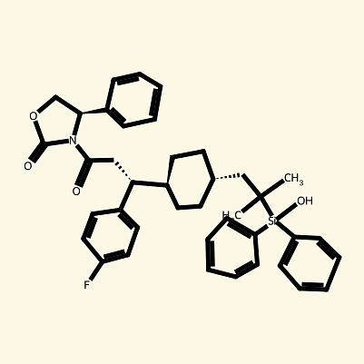 CC(C)(C[C@H]1CC[C@H]([C@@H](CC(=O)N2C(=O)OC[C@H]2c2ccccc2)c2ccc(F)cc2)CC1)[Si](O)(c1ccccc1)c1ccccc1